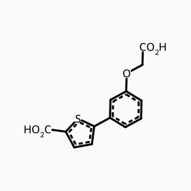 O=C(O)COc1cccc(-c2ccc(C(=O)O)s2)c1